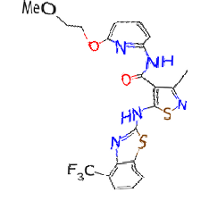 COCCOc1cccc(NC(=O)c2c(C)nsc2Nc2nc3c(C(F)(F)F)cccc3s2)n1